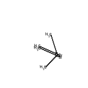 CCCCCCCCCCCCCCCCCCCCN(CCCCCCCCCCCCCCCCCCCC)c1cc(Br)c(Br)cc1N(CCCCCCCCCCCCCCCCCCCC)CCCCCCCCCCCCCCCCCCCC